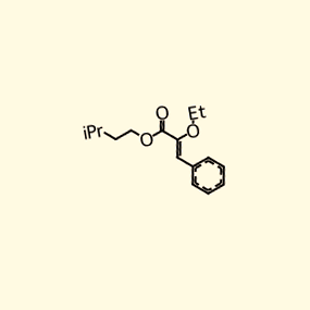 CCOC(=Cc1ccccc1)C(=O)OCCC(C)C